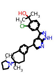 C[C@H]1CCCN1C1(C)CCc2ccc(-c3cnc4[nH]nc(-c5ccc(C(C)(C)O)c(Cl)c5)c4c3)cc2CC1